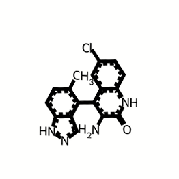 Cc1ccc2[nH]ncc2c1-c1c(N)c(=O)[nH]c2ccc(Cl)cc12